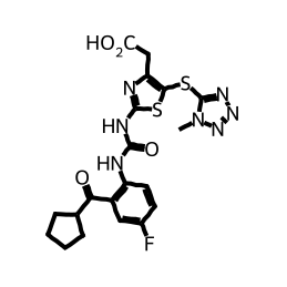 Cn1nnnc1Sc1sc(NC(=O)Nc2ccc(F)cc2C(=O)C2CCCC2)nc1CC(=O)O